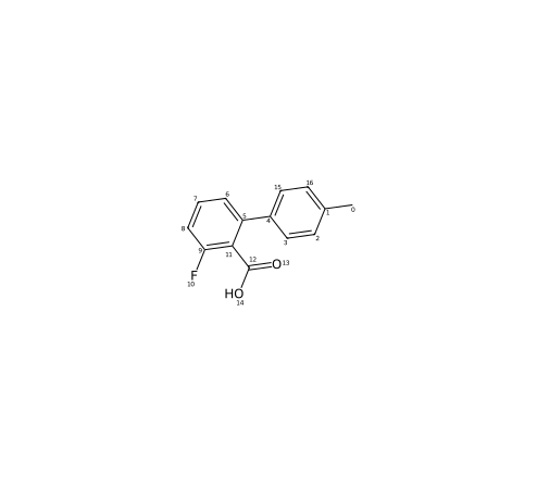 Cc1ccc(-c2cccc(F)c2C(=O)O)cc1